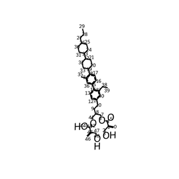 C=C(CO)C(=O)OCC(CCc1ccc(-c2ccc(C3CCC(C4CCC(CCC)CC4)CC3)c(C)c2)c(CC)c1)COC(O)C(=C)CO